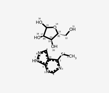 CSc1ncnc2[nH]ncc12.OC[C@H]1OC(O)[C@H](O)[C@@H]1O